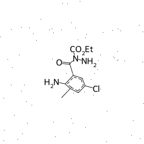 CCOC(=O)N(N)C(=O)c1cc(Cl)cc(C)c1N